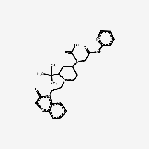 CC(C)(C)C1CC(N(CC(=O)Nc2ccccn2)C(=O)O)CCN1CCn1c(=O)cnc2ccccc21